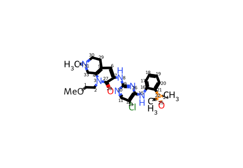 COCCn1c2c(cc(Nc3ncc(Cl)c(Nc4ccccc4P(C)(C)=O)n3)c1=O)CCN(C)C2